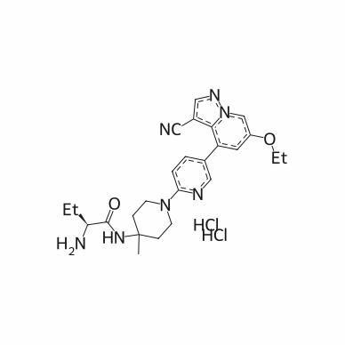 CCOc1cc(-c2ccc(N3CCC(C)(NC(=O)[C@@H](N)CC)CC3)nc2)c2c(C#N)cnn2c1.Cl.Cl